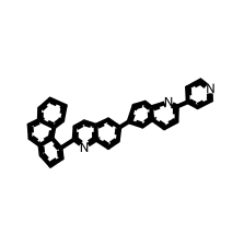 c1ccc2c(c1)ccc1cccc(-c3ccc4cc(-c5ccc6nc(-c7ccncc7)ccc6c5)ccc4n3)c12